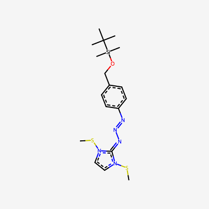 CSn1ccn(SC)c1=N/N=N/c1ccc(CO[Si](C)(C)C(C)(C)C)cc1